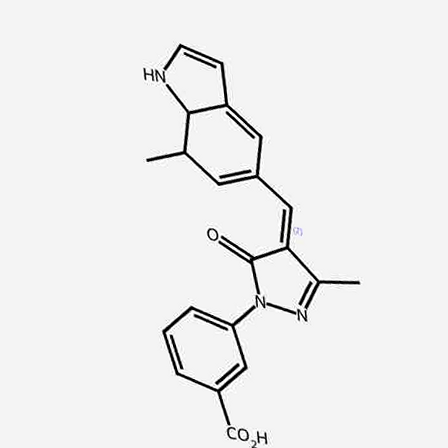 CC1=NN(c2cccc(C(=O)O)c2)C(=O)/C1=C\C1=CC(C)C2NC=CC2=C1